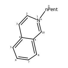 CCCCC[n+]1ccc2ccccc2c1